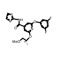 COC[C@@H](C)Oc1cc(C(=O)Nc2nccs2)cc(Oc2cc(F)cc(F)c2)n1